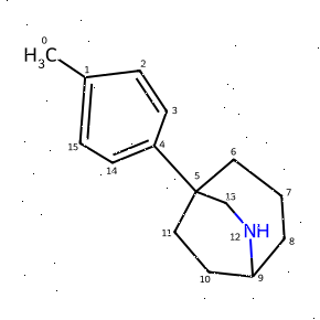 Cc1ccc(C23CCCC(CC2)NC3)cc1